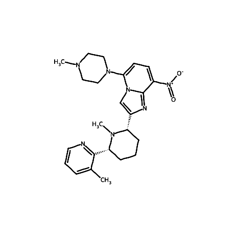 Cc1cccnc1[C@H]1CCC[C@@H](c2cn3c(N4CCN(C)CC4)ccc([N+](=O)[O-])c3n2)N1C